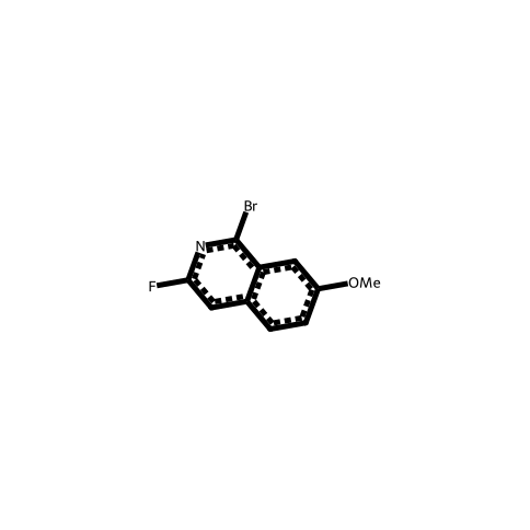 COc1ccc2cc(F)nc(Br)c2c1